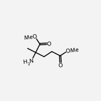 COC(=O)CCC(C)(N)C(=O)OC